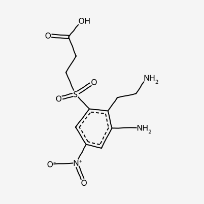 NCCc1c(N)cc([N+](=O)[O-])cc1S(=O)(=O)CCC(=O)O